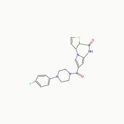 O=C1Nc2cc(C(=O)N3CCN(c4ccc(F)cc4)CC3)cn2C2C=CSC12